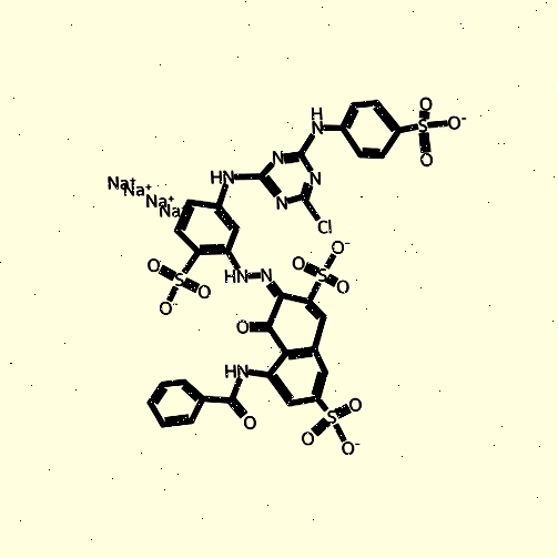 O=C(Nc1cc(S(=O)(=O)[O-])cc2c1C(=O)/C(=N\Nc1cc(Nc3nc(Cl)nc(Nc4ccc(S(=O)(=O)[O-])cc4)n3)ccc1S(=O)(=O)[O-])C(S(=O)(=O)[O-])=C2)c1ccccc1.[Na+].[Na+].[Na+].[Na+]